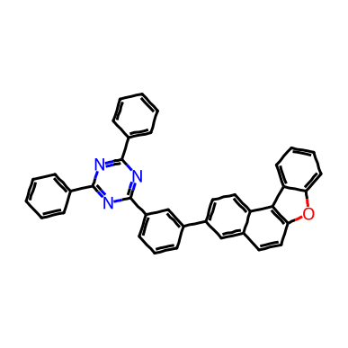 c1ccc(-c2nc(-c3ccccc3)nc(-c3cccc(-c4ccc5c(ccc6oc7ccccc7c65)c4)c3)n2)cc1